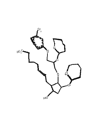 O=C(O)CCCC=CCC1C(O)CC(OC2CCCCO2)C1OCC(COc1cccc(C(F)(F)F)c1)OC1CCCCO1